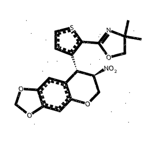 CC1(C)COC(c2sccc2[C@H]2c3cc4c(cc3OC[C@@H]2[N+](=O)[O-])OCO4)=N1